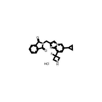 Cl.O=C1c2ccccc2C(=O)N1Cc1cn2cc(C3CC3)cc(C3(F)CNC3)c2n1